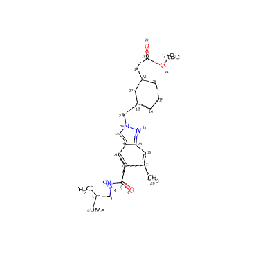 COC(C)CNC(=O)c1cc2cn(CC3CCCC(CC(=O)OC(C)(C)C)C3)nc2cc1C